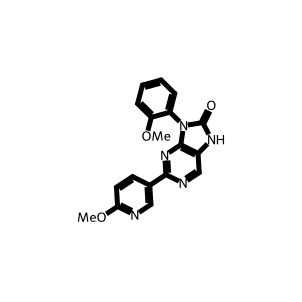 COc1ccc(-c2ncc3[nH]c(=O)n(-c4ccccc4OC)c3n2)cn1